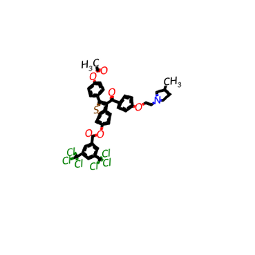 CC(=O)Oc1ccc(-c2sc3cc(OC(=O)c4cc(C(Cl)(Cl)Cl)cc(C(Cl)(Cl)Cl)c4)ccc3c2C(=O)c2ccc(OCCN3CCC(C)C3)cc2)cc1